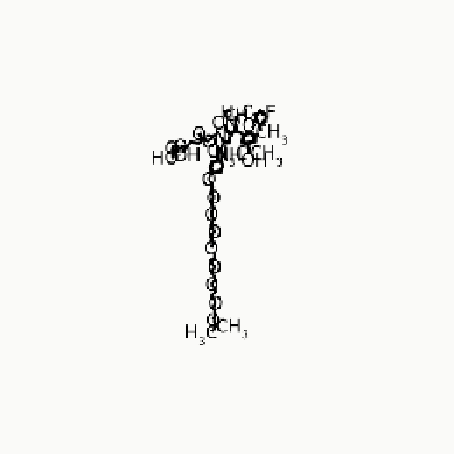 Cc1cc(F)cc(C)c1Oc1ccc(C(C)(C)O)cc1-c1cn(C)c(=O)c2c1cc(C(=O)Nc1ccc(OCCOCCOCCOCCOCCOCCOCCOCCOC(C)C)cc1)n2COC(=O)CCCOP(=O)(O)O